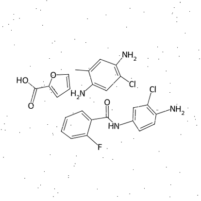 Cc1cc(N)c(Cl)cc1N.Nc1ccc(NC(=O)c2ccccc2F)cc1Cl.O=C(O)c1ccco1